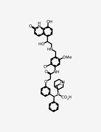 COc1cc(NC(=O)COc2cccc([C@H](c3ccccc3)N(C(=O)O)C3CN4CCC3CC4)c2)c(Cl)cc1CNCC(O)c1ccc(O)c2[nH]c(=O)ccc12